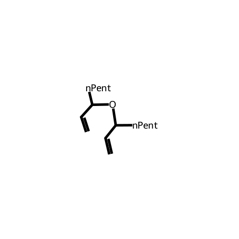 C=CC(CCCCC)OC(C=C)CCCCC